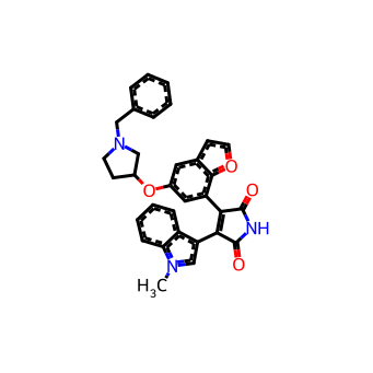 Cn1cc(C2=C(c3cc(OC4CCN(Cc5ccccc5)C4)cc4ccoc34)C(=O)NC2=O)c2ccccc21